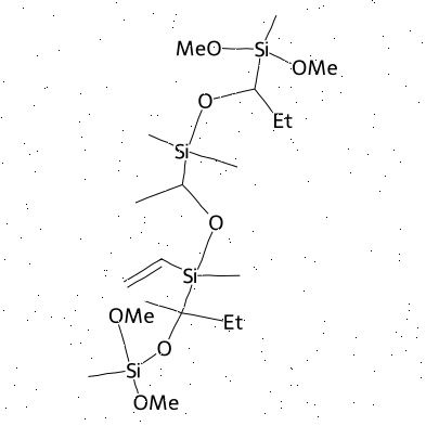 C=C[Si](C)(OC(C)[Si](C)(C)OC(CC)[Si](C)(OC)OC)C(C)(CC)O[Si](C)(OC)OC